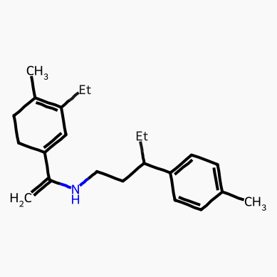 C=C(NCCC(CC)c1ccc(C)cc1)C1=CC(CC)=C(C)CC1